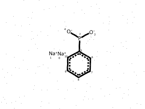 [Na+].[Na+].[O-]P([O-])c1ccccc1